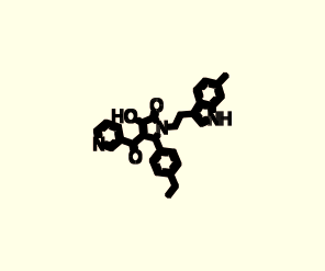 CCc1ccc(C2C(C(=O)c3cccnc3)=C(O)C(=O)N2CCc2c[nH]c3cc(C)ccc23)cc1